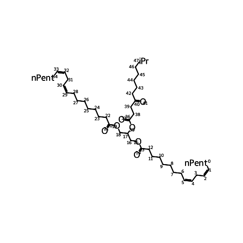 CCCCC/C=C\C/C=C\CCCCCCCC(=O)OCC(COC(=O)CCCCCCC/C=C\C/C=C\CCCCC)OC(=O)CCC(=O)CCCCCC(C)C